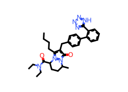 CCCCc1c(Cc2ccc(-c3ccccc3-c3nnn[nH]3)cc2)c(=O)n2n1C(C(=O)N(CC)CC)CCC2C